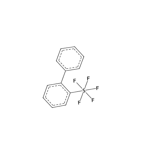 FS(F)(F)(F)(F)c1ccccc1-c1ccccc1